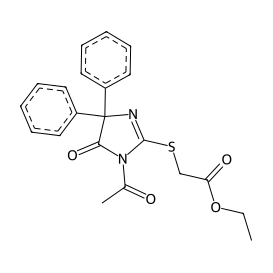 CCOC(=O)CSC1=NC(c2ccccc2)(c2ccccc2)C(=O)N1C(C)=O